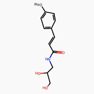 COc1ccc(/C=C/C(=O)NCC(O)CO)cc1